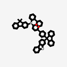 CC1(C)c2ccccc2-c2ccc(N(c3ccc(-c4ccc(C5(c6ccc7c(c6)oc6ccccc67)c6ccccc6-c6ccccc65)cc4)cc3)c3ccccc3-c3ccccc3)cc21